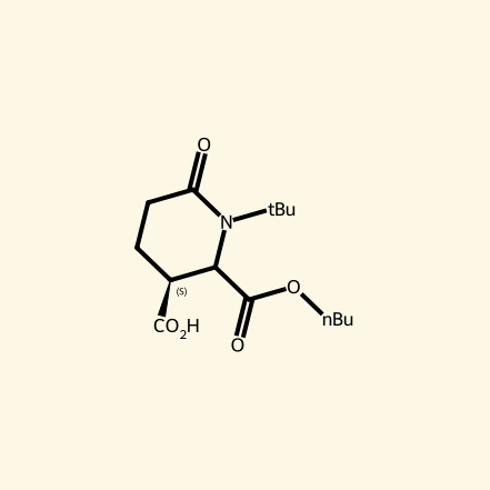 CCCCOC(=O)C1[C@@H](C(=O)O)CCC(=O)N1C(C)(C)C